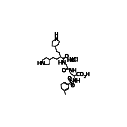 Cc1cccc(S(=O)(=O)NC(CNC(=O)CNC(=O)C(CCC2CCNCC2)CCC2CCNCC2)C(=O)O)c1.Cl.Cl